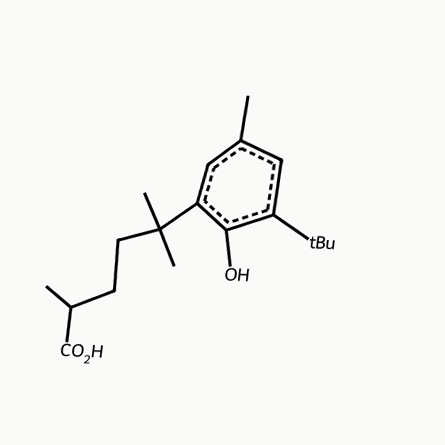 Cc1cc(C(C)(C)C)c(O)c(C(C)(C)CCC(C)C(=O)O)c1